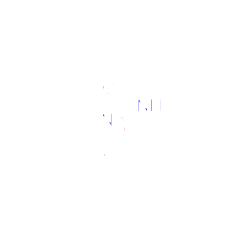 CNC1COCCN(C2CC3CCC2C3)C1=O